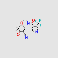 CC1(C)CC2(C=C(C#N)C1=O)CN(C(=O)c1ccncc1C(F)(F)F)CCO2